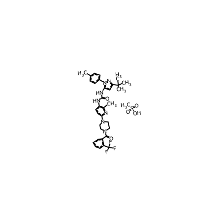 CS(=O)(=O)O.Cc1ccc(-n2nc(C(C)(C)C)cc2NC(=O)Nc2ccc(N3CCN(C(=O)c4ccccc4C(F)(F)F)CC3)nc2C)cc1